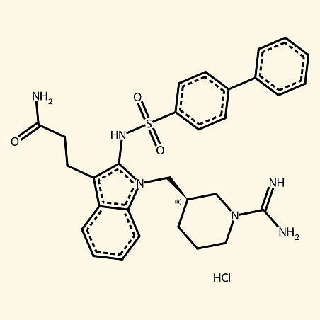 Cl.N=C(N)N1CCC[C@@H](Cn2c(NS(=O)(=O)c3ccc(-c4ccccc4)cc3)c(CCC(N)=O)c3ccccc32)C1